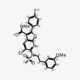 CCc1cc2c(C(=O)NC)c(-c3ccc(F)cc3)oc2nc1N(CCc1cccc(OC)c1)S(C)(=O)=O